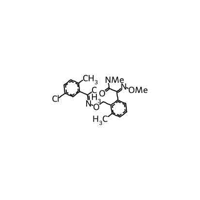 CNC(=O)/C(=N/OC)c1cccc(C)c1CO/N=C(\C)c1cc(Cl)ccc1C